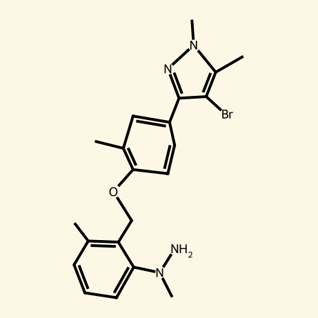 Cc1cc(-c2nn(C)c(C)c2Br)ccc1OCc1c(C)cccc1N(C)N